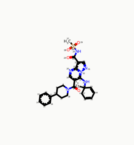 CCC1(Nc2c(C(=O)N3CCC(c4ccccc4)CC3)cnc3c(C(=O)NS(C)(=O)=O)cnn23)C=CC=CC1